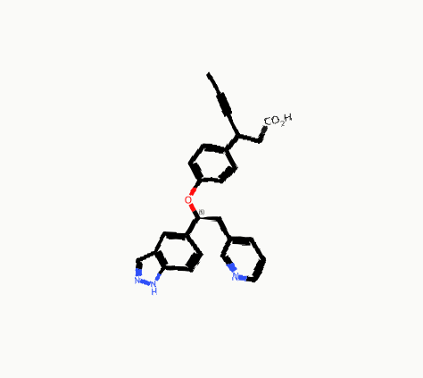 CC#CC(CC(=O)O)c1ccc(O[C@@H](Cc2cccnc2)c2ccc3[nH]ncc3c2)cc1